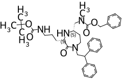 CN(C[C@@H]1CCN(CC(c2ccccc2)c2ccccc2)C(=O)[C@H](CCCNC(=O)OC(C)(C)C)N1)C(=O)OCc1ccccc1